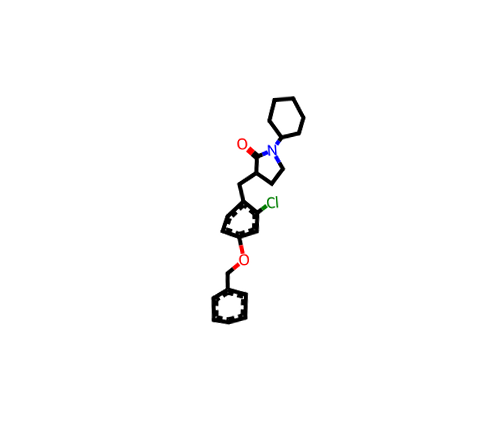 O=C1C(Cc2ccc(OCc3ccccc3)cc2Cl)CCN1C1CCCCC1